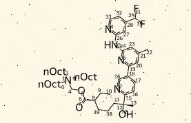 CCCCCCCC[N+](CCCCCCCC)(CCCCCCCC)COC(=O)[C@H]1CC[C@H]([C@@](C)(O)c2ccc(-c3cc(C)cc(Nc4cc(C(F)F)ccn4)n3)cn2)CC1